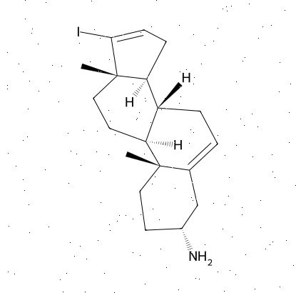 C[C@]12CC[C@@H](N)CC1=CC[C@@H]1[C@@H]2CC[C@]2(C)C(I)=CC[C@@H]12